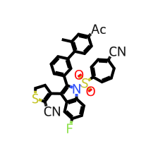 CC(=O)c1ccc(-c2cccc(-c3c(C4=C(C#N)SCC4)c4cc(F)ccc4n3S(=O)(=O)C3=CC=C(C#N)CC=C3)c2)c(C)c1